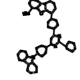 CC(C)(C)c1cccc2c1oc1c(-c3ccc(-c4cc(-c5ccc(-n6c7ccccc7c7ccccc76)cc5)nc(-c5ccccc5)n4)cc3)cccc12